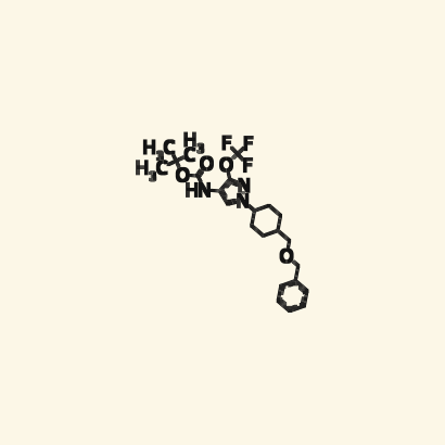 CC(C)(C)OC(=O)Nc1cn(C2CCC(COCc3ccccc3)CC2)nc1OC(F)(F)F